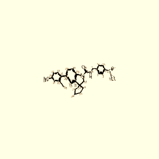 CC[S+]([O-])c1ccc(CNC(=O)N2CC3(CCCC3)c3cc(-c4ccc(C#N)cc4C)ccc32)cc1